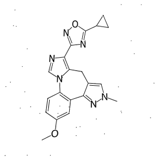 COc1ccc2c(c1)-c1nn(C)cc1Cc1c(-c3noc(C4CC4)n3)ncn1-2